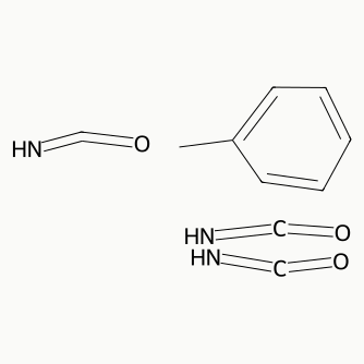 Cc1ccccc1.N=C=O.N=C=O.N=C=O